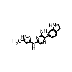 Cc1cc(Nc2cnc(-c3ccc4c(c3)NCC4)c(N)n2)n[nH]1